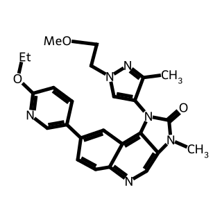 CCOc1ccc(-c2ccc3ncc4c(c3c2)n(-c2cn(CCOC)nc2C)c(=O)n4C)cn1